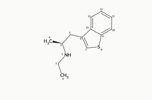 CCN[C@@H](C)Cc1csc2ccccc12